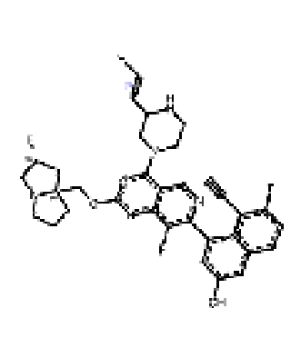 C#Cc1c(F)ccc2cc(O)cc(-c3ncc4c(N5CCNC(/C=C/F)C5)nc(OC[C@@]56CCCN5C[C@H](F)C6)nc4c3F)c12